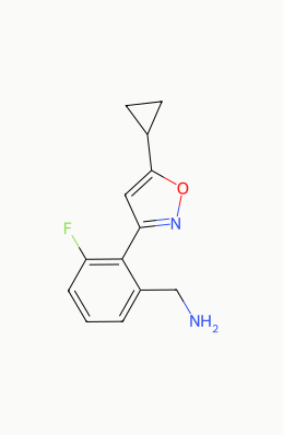 NCc1cccc(F)c1-c1cc(C2CC2)on1